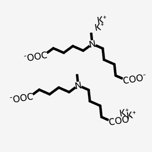 CN(CCCCC(=O)[O-])CCCCC(=O)[O-].CN(CCCCC(=O)[O-])CCCCC(=O)[O-].[K+].[K+].[K+].[K+]